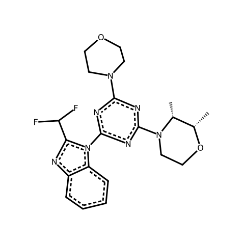 C[C@@H]1OCCN(c2nc(N3CCOCC3)nc(-n3c(C(F)F)nc4ccccc43)n2)[C@@H]1C